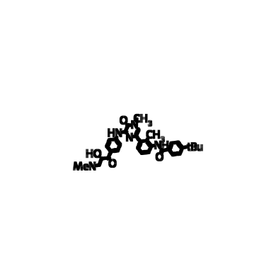 CNCC(O)C(=O)c1ccc(Nc2nc(-c3cccc(NC(=O)c4ccc(C(C)(C)C)cc4)c3C)cn(C)c2=O)cc1